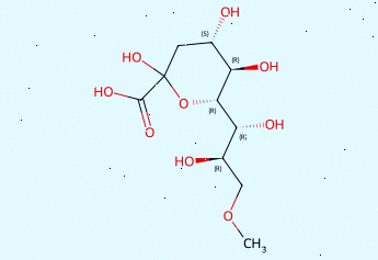 COC[C@@H](O)[C@@H](O)[C@@H]1OC(O)(C(=O)O)C[C@H](O)[C@H]1O